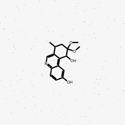 COC1(OC)CC(C)c2cnc3ccc(O)cc3c2C1O